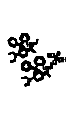 CCNC(C)=C1C=CC(N(CC)CC)C2=C1C2(c1ccccc1)c1ccccc1.CCNC(C)=C1C=CC(N(CC)CC)C2=C1C2(c1ccccc1)c1ccccc1.O=S(=O)(O)O